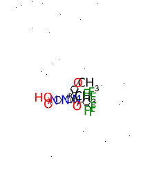 COc1ccc([C@@H]2CN(C3CCN(C(=O)O)CC3)CC[C@H]2N(C)C(=O)c2cc(C(F)(F)F)cc(C(F)(F)F)c2)cc1